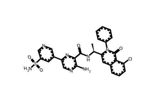 C[C@H](NC(=O)c1nc(-c2cncc(S(N)(=O)=O)c2)cnc1N)c1cc2cccc(Cl)c2c(=O)n1-c1ccccc1